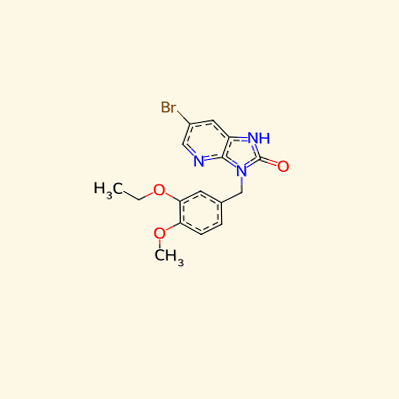 CCOc1cc(Cn2c(=O)[nH]c3cc(Br)cnc32)ccc1OC